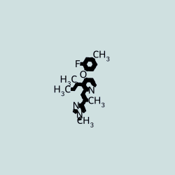 CCC(C)c1c(Oc2ccc(C)cc2F)ccnc1/C=C(\C)c1cn(C)cn1